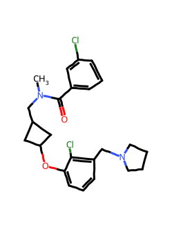 CN(CC1CC(Oc2cccc(CN3CCCC3)c2Cl)C1)C(=O)c1cccc(Cl)c1